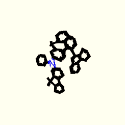 CC1(C)c2ccccc2-c2ccc(N(c3ccccc3)c3ccc4c(c3)C(C)(C)c3cccc5ccc(-c6cc7ccccc7c7ccccc67)c-4c35)cc21